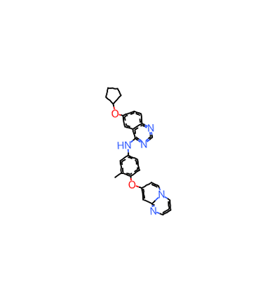 Cc1cc(Nc2ncnc3ccc(OC4CCCC4)cc23)ccc1OC1=CC2=NC=C=CN2C=C1